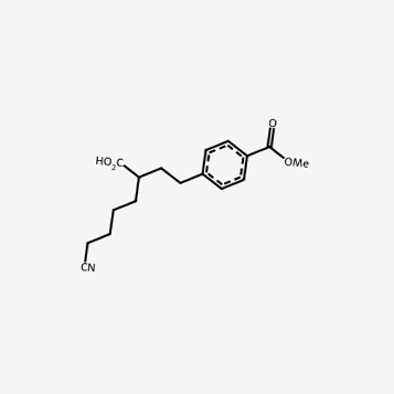 COC(=O)c1ccc(CCC(CCCCC#N)C(=O)O)cc1